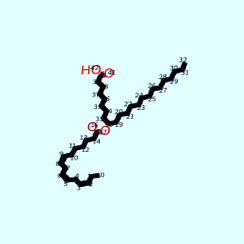 CC/C=C\C/C=C\C/C=C\CCCCCC(=O)OC(CCCCCCCCCCCCCC)CCCCCCCC(=O)O